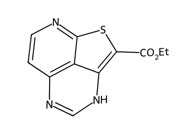 CCOC(=O)c1sc2nccc3c2c1NC=N3